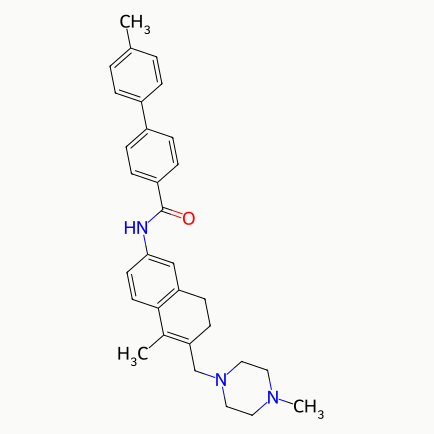 CC1=C(CN2CCN(C)CC2)CCc2cc(NC(=O)c3ccc(-c4ccc(C)cc4)cc3)ccc21